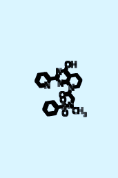 CN(CC(=O)N1CCCc2c(O)nc(-c3ccccn3)nc21)S(=O)(=O)c1ccccc1